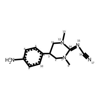 CN1CC(c2ccc(N)cc2)CN(C)C1=NC#N